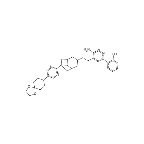 Nc1nnc(-c2ccccc2O)cc1CCC1CC2CC3(c4ncc(C5CCC6(CC5)OCCO6)cn4)CC(C1)C23